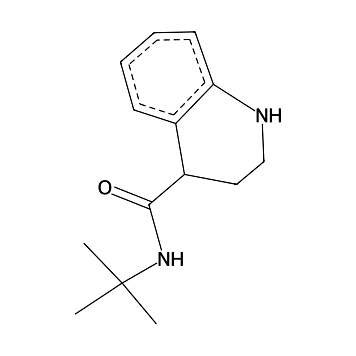 CC(C)(C)NC(=O)C1CCNc2ccccc21